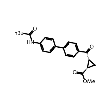 CCCCC(=O)Nc1ccc(-c2ccc(C(=O)[C@@H]3C[C@H]3C(=O)OC)cc2)cc1